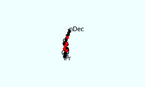 CCCCCCCCCCCCCCCCCCOc1ccc(-c2ccc(OC(=O)C(F)CC(C)C)cc2)cc1